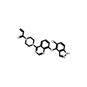 C=CC(=O)N1CCN(c2ncnc3c(Oc4c(Cl)ccc5[nH]ncc45)cccc23)CC1